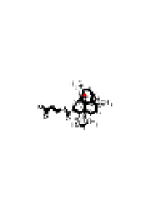 CCO.C[C@H]1[C@H](C(=O)OCCC(=O)O)O[C@@H]2O[C@]3(C)CC[C@H]4[C@H](C)CC[C@@H]1C24OO3